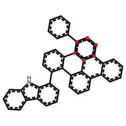 c1ccc(-c2ccccc2-c2cccc(-c3cccc4c3[nH]c3ccccc34)c2-c2cccc3c4ccccc4c4ccccc4c23)cc1